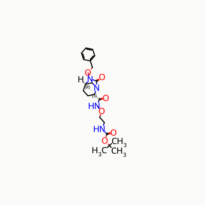 CC(C)(C)OC(=O)NCCONC(=O)[C@@H]1CC[C@@H]2CN1C(=O)N2OCc1ccccc1